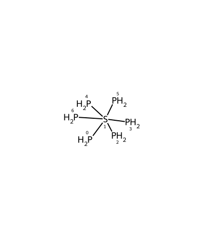 PS(P)(P)(P)(P)P